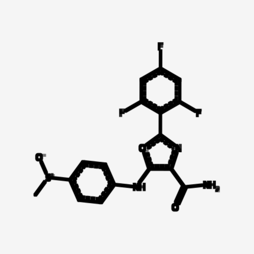 C[S+]([O-])c1ccc(Nc2oc(-c3c(F)cc(F)cc3F)nc2C(N)=O)cc1